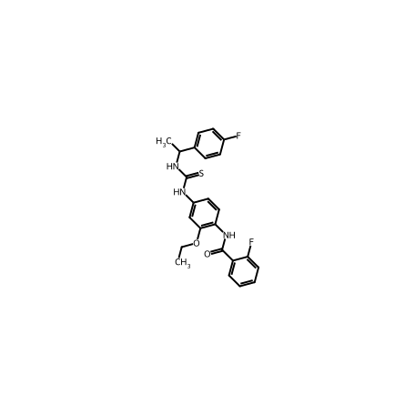 CCOc1cc(NC(=S)NC(C)c2ccc(F)cc2)ccc1NC(=O)c1ccccc1F